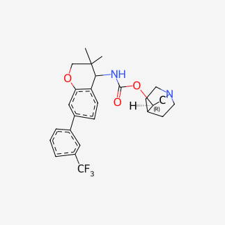 CC1(C)COc2cc(-c3cccc(C(F)(F)F)c3)ccc2C1NC(=O)O[C@H]1CN2CCC1CC2